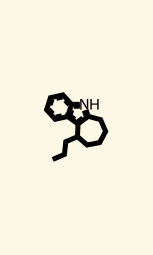 CCCC1CCCCc2[nH]c3ccccc3c21